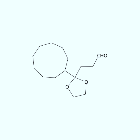 O=CCCC1(C2CCCCCCCC2)OCCO1